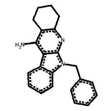 Nc1c2c(nc3c1c1ccccc1n3Cc1ccccc1)CCCC2